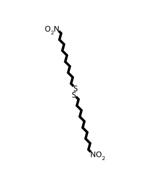 O=[N+]([O-])CCCCCCCCCCSSCCCCCCCCCC[N+](=O)[O-]